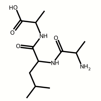 CC(C)CC(NC(=O)C(C)N)C(=O)NC(C)C(=O)O